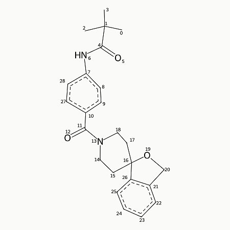 CC(C)(C)C(=O)Nc1ccc(C(=O)N2CCC3(CC2)OCc2ccccc23)cc1